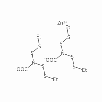 CCSSN(SSCC)C(=O)[O-].CCSSN(SSCC)C(=O)[O-].[Zn+2]